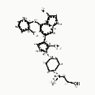 Cc1c(-c2cc(Sc3ncccc3F)c3c(C#N)cnn3c2)cnn1[C@H]1CC[C@@H](N(C)CCO)CC1